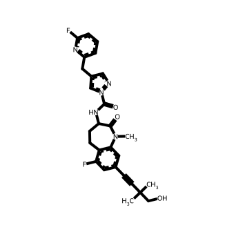 CN1C(=O)C(NC(=O)n2cc(Cc3cccc(F)n3)cn2)CCc2c(F)cc(C#CC(C)(C)CO)cc21